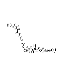 CC(CCCCCCCCCCCCC(=O)O)CCCC(=O)NCCOCCOCC(=O)O